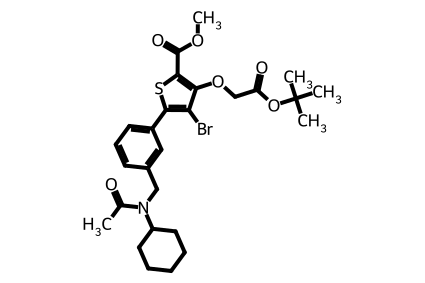 COC(=O)c1sc(-c2cccc(CN(C(C)=O)C3CCCCC3)c2)c(Br)c1OCC(=O)OC(C)(C)C